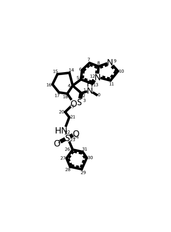 CNC(=S)C1(c2ccc3nccn3c2)CCCCC1OCCNS(=O)(=O)c1ccccc1